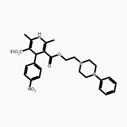 CCOC(=O)C1=C(C)NC(C)=C(C(=O)OCCN2CCN(c3ccccc3)CC2)C1c1ccc([N+](=O)[O-])cc1